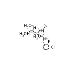 C=CN(CC(=O)N(CC(=O)NCc1cccc(Cl)c1F)C1CC1)/C(C)=C/N=C